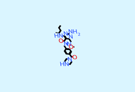 CCC[C@H](C)Nc1nc(N)nc2cnn(Cc3ccc(C(=O)N4CCNCC4)cc3OC)c(=O)c12